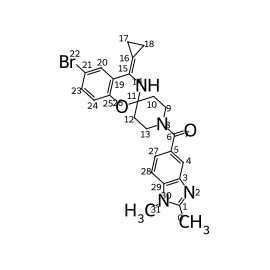 Cc1nc2cc(C(=O)N3CCC4(CC3)NC(=C3CC3)c3cc(Br)ccc3O4)ccc2n1C